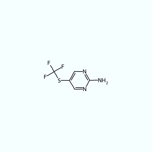 Nc1ncc(SC(F)(F)F)cn1